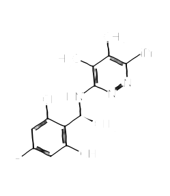 Cc1cc(F)cc(C)c1[C@H](C)Nc1nnc(C(C)C)c(C)c1C